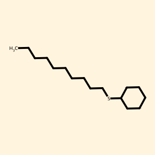 CCCCCCCCCCSC1[CH]CC[CH]C1